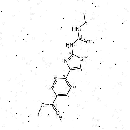 CCNC(=O)Nc1nc(-c2ccc(C(=O)OC)cc2)cs1